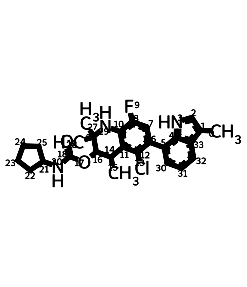 Cc1c[nH]c2c(-c3cc(F)c4c(c3Cl)C(C)C(OC(=O)NC3CCCC3)C(C)(C)N4)cccc12